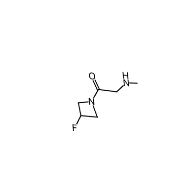 CNCC(=O)N1CC(F)C1